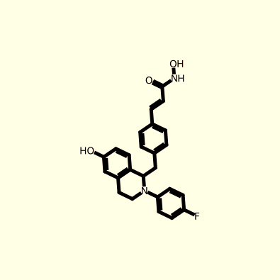 O=C(C=Cc1ccc(CC2c3ccc(O)cc3CCN2c2ccc(F)cc2)cc1)NO